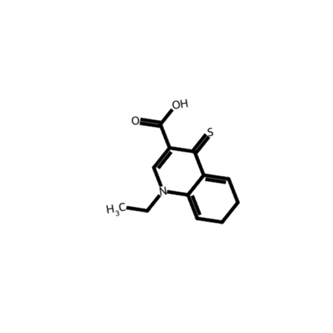 CCn1cc(C(=O)O)c(=S)c2c1=CCCC=2